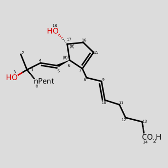 CCCCCC(C)(O)C=C[C@@H]1C(CC=CCCCC(=O)O)=CC[C@H]1O